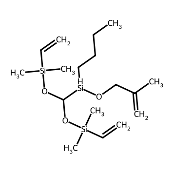 C=C[Si](C)(C)OC(O[Si](C)(C)C=C)[SiH](CCCC)OCC(=C)C